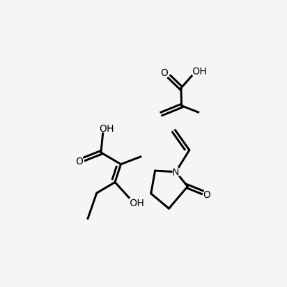 C=C(C)C(=O)O.C=CN1CCCC1=O.CC/C(O)=C(/C)C(=O)O